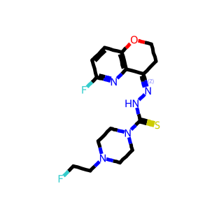 FCCN1CCN(C(=S)N/N=C2/CCOc3ccc(F)nc32)CC1